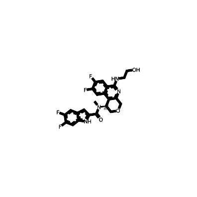 CN(C(=O)c1cc2cc(F)c(F)cc2[nH]1)[C@@H]1COCc2nc(NCCO)c3cc(F)c(F)cc3c21